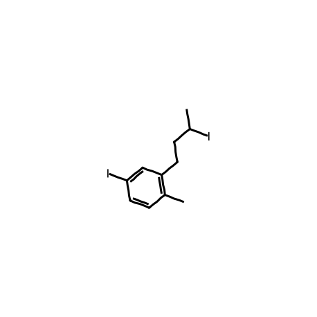 Cc1ccc(I)cc1CCC(C)I